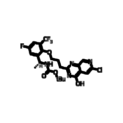 C[C@@H](NC(=O)OC(C)(C)C)c1cc(F)cc(C(F)(F)F)c1OCCCc1nc(O)c2cc(Cl)ncc2n1